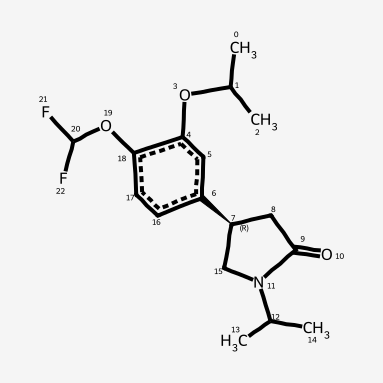 CC(C)Oc1cc([C@H]2CC(=O)N(C(C)C)C2)ccc1OC(F)F